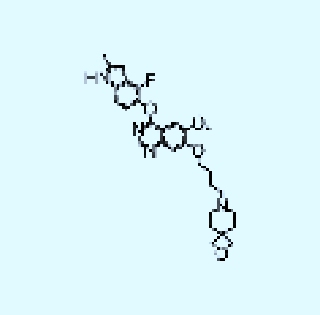 COc1cc2c(Oc3ccc4[nH]c(C)cc4c3F)ncnc2cc1OCCCCN1CCC2(CC1)COC2